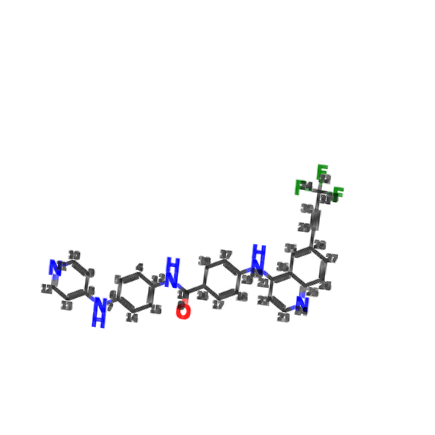 O=C(Nc1ccc(Nc2ccncc2)cc1)C1C=CC(Nc2ccnc3ccc(C#CC(F)(F)F)cc23)=CC1